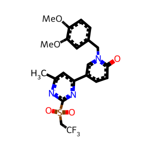 COc1ccc(Cn2cc(-c3cc(C)nc(S(=O)(=O)CC(F)(F)F)n3)ccc2=O)cc1OC